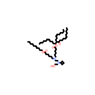 CCCCC/C=C\CCCC(=O)C(CC/C=C\CCCCC)C(CCC/C=C\CCCCC)OC(=O)CCCCCN(CCCCCC(=O)OCCC/C=C/CCCCC)CCN(CCO)C1CCC1